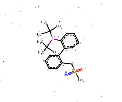 CC(C)(C)P(c1ccccc1-c1ccccc1CS(C)(=N)=O)C(C)(C)C